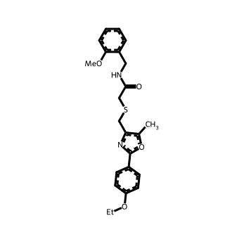 CCOc1ccc(-c2nc(CSCC(=O)NCc3ccccc3OC)c(C)o2)cc1